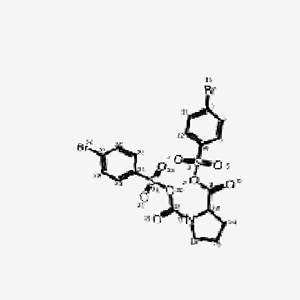 O=C(OS(=O)(=O)c1ccc(Br)cc1)C1CCCN1C(=O)OS(=O)(=O)c1ccc(Br)cc1